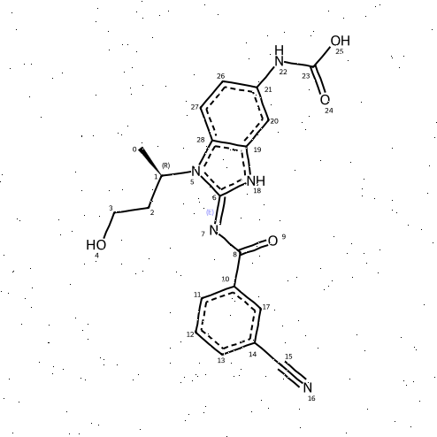 C[C@H](CCO)n1/c(=N/C(=O)c2cccc(C#N)c2)[nH]c2cc(NC(=O)O)ccc21